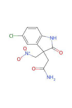 NC(=O)CC1(C[N+](=O)[O-])C(=O)Nc2ccc(Cl)cc21